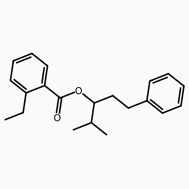 CCc1ccccc1C(=O)OC(CCc1ccccc1)C(C)C